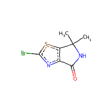 CC1(C)NC(=O)c2nc(Br)sc21